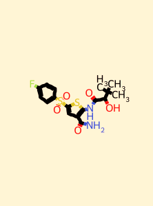 CC(C)(C)C(O)C(=O)Nc1sc(S(=O)(=O)c2ccc(F)cc2)cc1C(N)=O